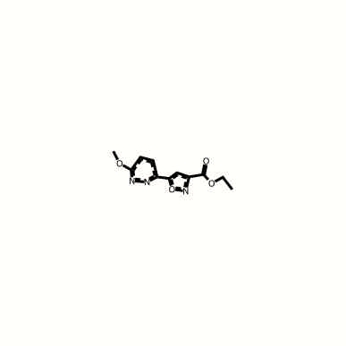 CCOC(=O)c1cc(-c2ccc(OC)nn2)on1